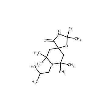 CCC1(C)NC(=O)C2(CC(C)(C)N(CC(C)O)C(C)(C)C2)O1